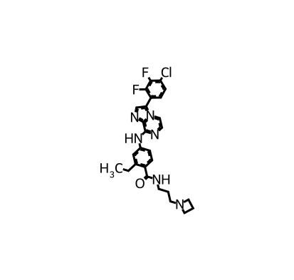 CCc1cc(Nc2nccn3c(-c4ccc(Cl)c(F)c4F)cnc23)ccc1C(=O)NCCCN1CCC1